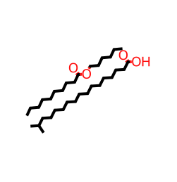 CC(C)CCCCCCCCCCCCCCC(=O)O.CCCCCCCCCC(=O)OCCCCCC